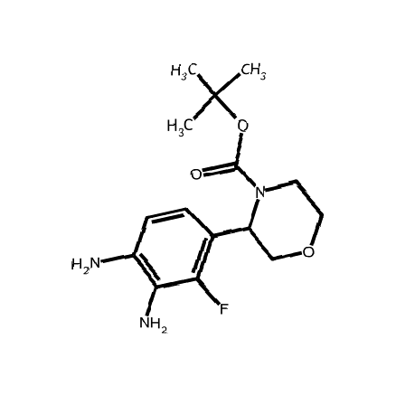 CC(C)(C)OC(=O)N1CCOCC1c1ccc(N)c(N)c1F